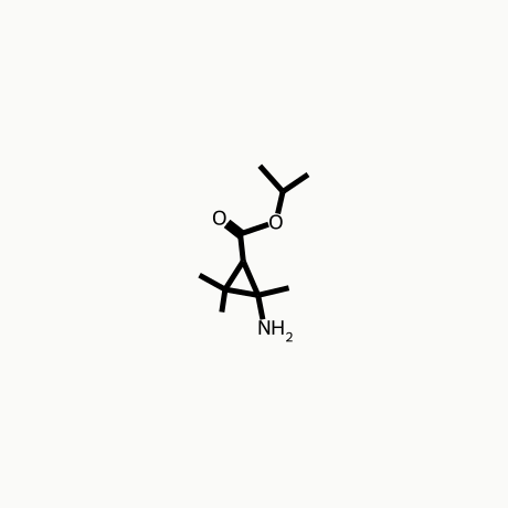 CC(C)OC(=O)C1C(C)(C)C1(C)N